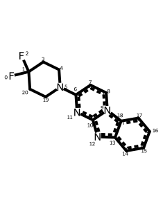 FC1(F)CCN(c2ccn3c(n2)nc2ccccc23)CC1